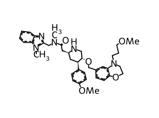 COCCCN1CCOc2ccc(CO[C@H]3CN[C@H](CC(=O)N(C)Cc4nc5ccccc5n4C)C[C@@H]3c3ccc(OC)cc3)cc21